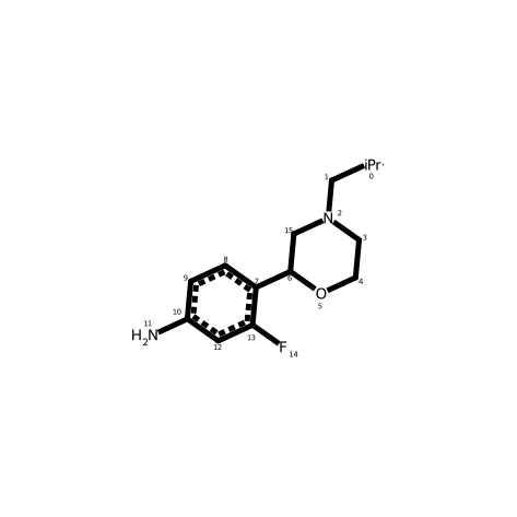 C[C](C)CN1CCOC(c2ccc(N)cc2F)C1